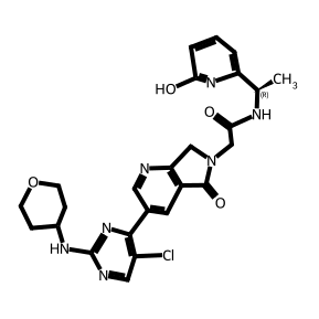 C[C@@H](NC(=O)CN1Cc2ncc(-c3nc(NC4CCOCC4)ncc3Cl)cc2C1=O)c1cccc(O)n1